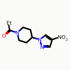 CCC(=O)N1CCC(n2cc([N+](=O)[O-])cn2)CC1